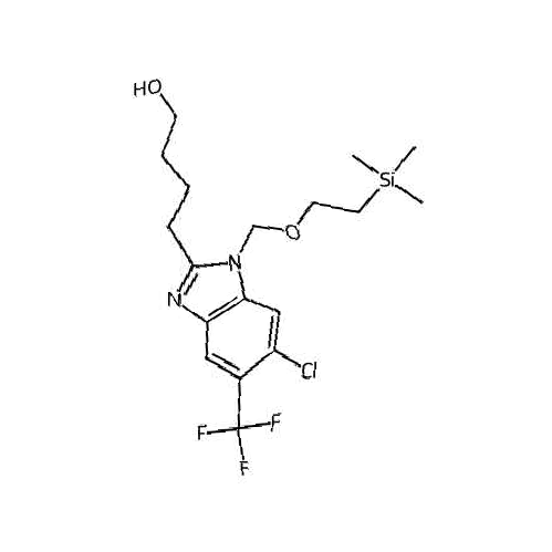 C[Si](C)(C)CCOCn1c(CCCCO)nc2cc(C(F)(F)F)c(Cl)cc21